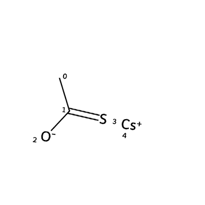 CC([O-])=S.[Cs+]